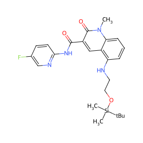 Cn1c(=O)c(C(=O)Nc2ccc(F)cn2)cc2c(NCCO[Si](C)(C)C(C)(C)C)cccc21